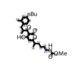 CCCCc1ccc(CC(C)C(=O)c2c(O)cc(C(C)CC/C=C/NC(=O)OC)oc2=O)c(C)c1